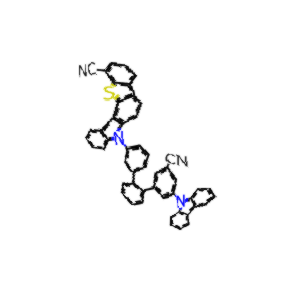 N#Cc1cc(-c2ccccc2-c2cccc(-n3c4ccccc4c4c5sc6c(C#N)cccc6c5ccc43)c2)cc(-n2c3ccccc3c3ccccc32)c1